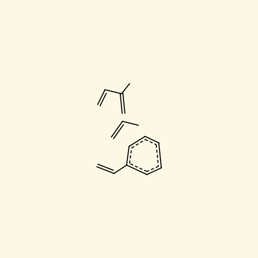 C=CC.C=CC(=C)C.C=Cc1ccccc1